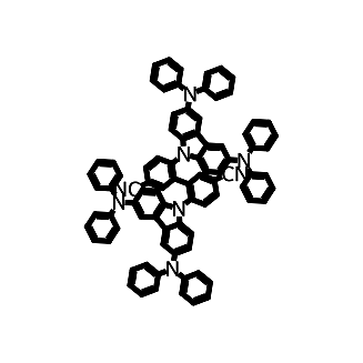 N#Cc1ccc(-n2c3ccc(N(c4ccccc4)c4ccccc4)cc3c3cc(N(c4ccccc4)c4ccccc4)ccc32)c(-c2cc(C#N)ccc2-n2c3ccc(N(c4ccccc4)c4ccccc4)cc3c3cc(N(c4ccccc4)c4ccccc4)ccc32)c1